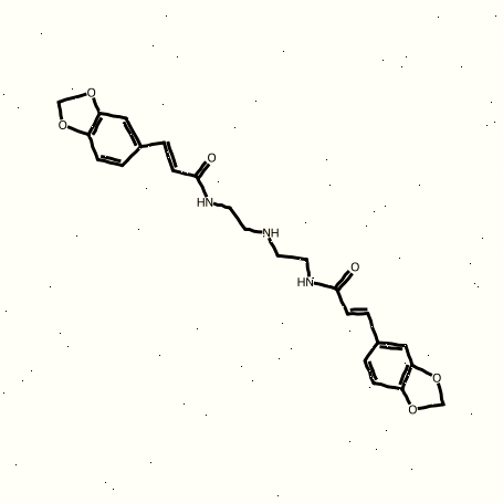 O=C(/C=C/c1ccc2c(c1)OCO2)NCCNCCNC(=O)/C=C/c1ccc2c(c1)OCO2